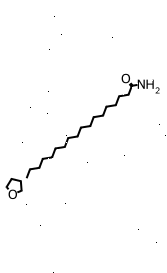 C1CCOC1.CCCCCCCCCCCCCCCCCC(N)=O